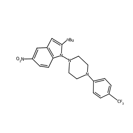 CCCCc1cc2cc([N+](=O)[O-])ccc2n1N1CCN(c2ccc(C(F)(F)F)cc2)CC1